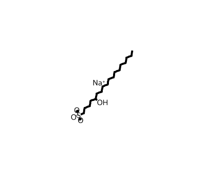 CCCCCCCCCCCCCC(O)CCCCS(=O)(=O)[O-].[Na+]